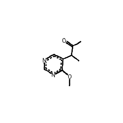 COc1ncncc1C(C)C(C)=O